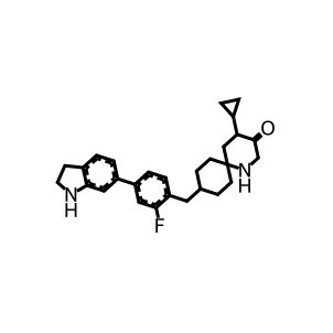 O=C1CNC2(CCC(Cc3ccc(-c4ccc5c(c4)NCC5)cc3F)CC2)CC1C1CC1